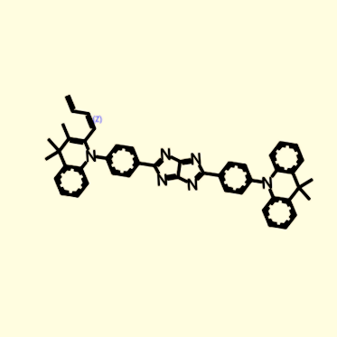 C=C/C=C\C1=C(C)C(C)(C)c2ccccc2N1c1ccc(C2=NC3=NC(c4ccc(N5c6ccccc6C(C)(C)c6ccccc65)cc4)=NC3=N2)cc1